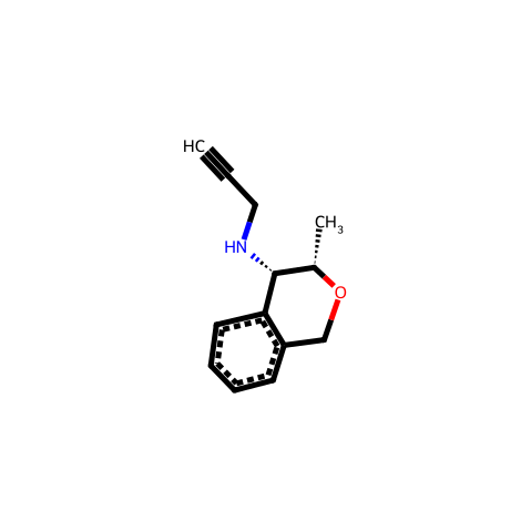 C#CCN[C@H]1c2ccccc2CO[C@H]1C